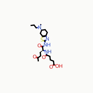 CCCN(C)[C@H]1CCc2nc(NC(=O)[C@H](CCC(C)=O)NC(=O)CCCC(=O)O)sc2C1